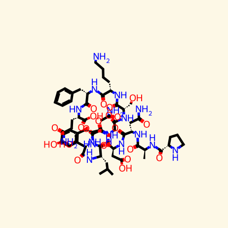 CC(C)C[C@H](NC(=O)[C@@H](NC(=O)[C@H](CC(N)=O)NC(=O)[C@H](CC(=O)O)NC(=O)[C@H](CC(N)=O)NC(=O)[C@H](C)NC(=O)[C@@H]1CCCN1)[C@@H](C)O)C(=O)N[C@@H](Cc1ccc(O)cc1)C(=O)N[C@@H](C)C(=O)N[C@@H](CO)C(=O)N[C@@H](CCCCN)C(=O)N[C@@H](Cc1ccccc1)C(=O)N[C@@H](CCC(N)=O)C(=O)O